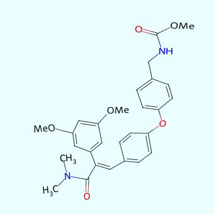 COC(=O)NCc1ccc(Oc2ccc(C=C(C(=O)N(C)C)c3cc(OC)cc(OC)c3)cc2)cc1